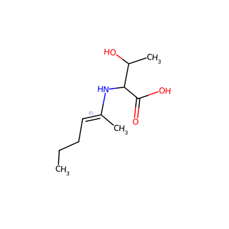 CCC/C=C(\C)NC(C(=O)O)C(C)O